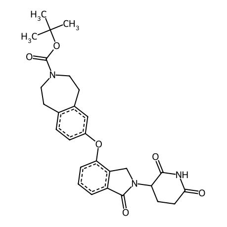 CC(C)(C)OC(=O)N1CCc2ccc(Oc3cccc4c3CN(C3CCC(=O)NC3=O)C4=O)cc2CC1